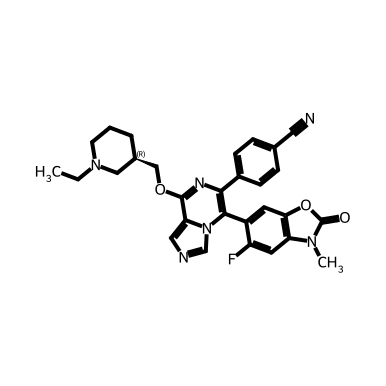 CCN1CCC[C@@H](COc2nc(-c3ccc(C#N)cc3)c(-c3cc4oc(=O)n(C)c4cc3F)n3cncc23)C1